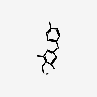 Cc1ccc(Sc2cc(C)c(CC=O)c(C)c2)cc1